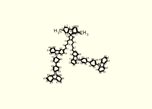 Cc1ccc2c(c1)C(CCCCCCc1ccc3c(c1)c1ccccc1n3-c1ccc(-c3ccc(-n4c5ccccc5c5ccccc54)cc3)cc1)(CCCCCCc1ccc3c(c1)c1ccccc1n3-c1ccc(-c3ccc(-n4c5ccccc5c5ccccc54)cc3)cc1)c1cc(C)ccc1-2